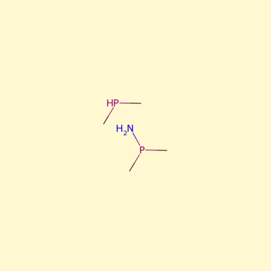 CP(C)N.CPC